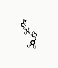 O=C(CSC1=CCC(Br)S1)NC[C@H]1CN(Cc2ccc(Cl)c(Cl)c2)CCO1